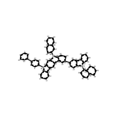 c1ccc(-c2ccc(-n3c4ccccc4c4cc5c6cc(-c7ccc8c(c7)c7ccccc7n8-c7cccc8ccccc78)ccc6n(-c6ccc7ccccc7c6)c5cc43)cc2)cc1